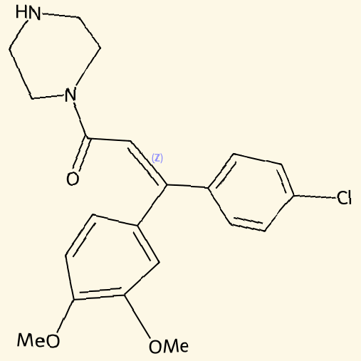 COc1ccc(/C(=C\C(=O)N2CCNCC2)c2ccc(Cl)cc2)cc1OC